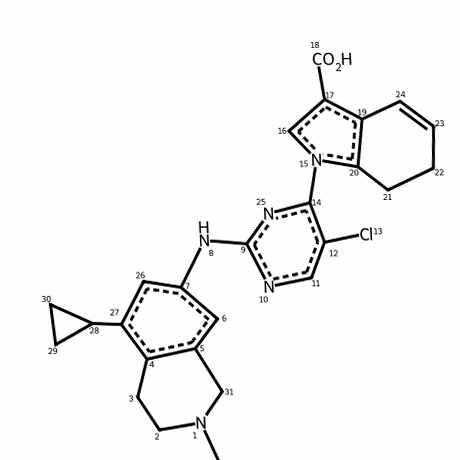 CN1CCc2c(cc(Nc3ncc(Cl)c(-n4cc(C(=O)O)c5c4CCC=C5)n3)cc2C2CC2)C1